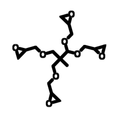 CC(COCC1CO1)(COCC1CO1)C(OCC1CO1)OCC1CO1